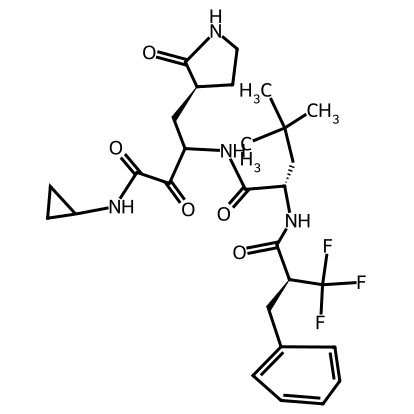 CC(C)(C)C[C@H](NC(=O)[C@H](Cc1ccccc1)C(F)(F)F)C(=O)NC(C[C@@H]1CCNC1=O)C(=O)C(=O)NC1CC1